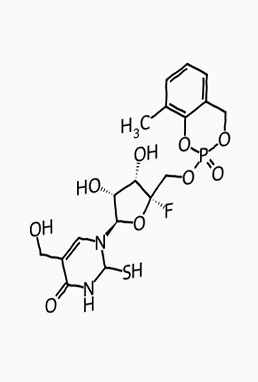 Cc1cccc2c1OP(=O)(OC[C@@]1(F)O[C@@H](N3C=C(CO)C(=O)NC3S)[C@H](O)[C@@H]1O)OC2